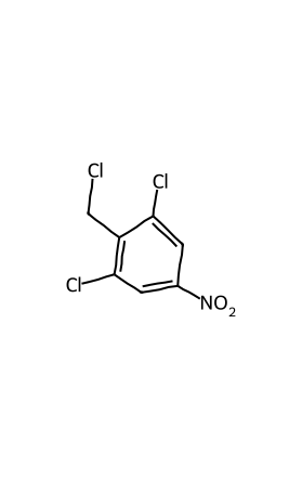 O=[N+]([O-])c1cc(Cl)c(CCl)c(Cl)c1